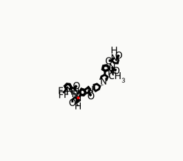 Cn1c(=O)n(C2CCC(=O)NC2=O)c2cccc(C3CCN(C[C@H]4CC[C@H](N5Cc6cc(NC(=O)c7cccc(C(F)(F)F)n7)c(N7C[C@H]8C[C@@H]7CO8)cc6C5=O)CC4)CC3)c21